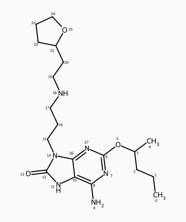 CCCC(C)Oc1nc(N)c2[nH]c(=O)n(CCCNCCC3CCCO3)c2n1